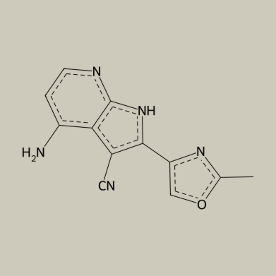 Cc1nc(-c2[nH]c3nccc(N)c3c2C#N)co1